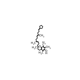 C/C(=C\CC/C(C)=C/CC[C@]1(C)CCc2c(C)c(O)c(C)c(C)c2O1)CCC=C1CCCC1